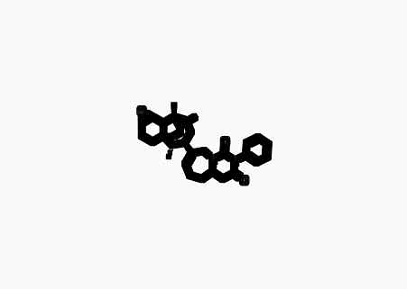 CC1CC[C@@]23CCC4OC4C2[C@]1(C)CC[C@@H](C1=CCCC2CC(=O)N(c4ccccc4)C(=O)N2C1)[C@@H]3C